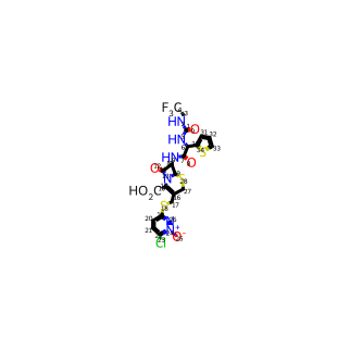 O=C(NCC(F)(F)F)NC(C(=O)N[C@H]1C(=O)N2C(C(=O)O)=C(CSc3ccc(Cl)[n+]([O-])n3)CSC12)c1cccs1